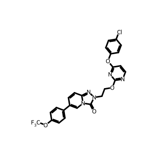 O=c1n(CCOc2nccc(Oc3ccc(Cl)cc3)n2)nc2ccc(-c3ccc(OC(F)(F)F)cc3)cn12